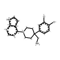 NCC1(c2ccc(Cl)c(Cl)c2)CCN(c2ncnc3[nH]ccc23)CC1